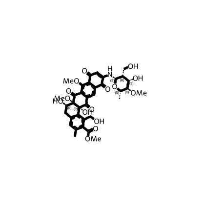 COC(=O)c1c(C)cc2c(c1CO)[C@]1(O)C(=O)c3cc4c(c(OC)c3C(=O)[C@]1(OC)[C@H](O)C2)C(=O)C=C(N[C@H]1O[C@@H](C)[C@H](OC)[C@@H](O)[C@H]1CO)C4=O